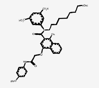 CCCCCCCCCCCCCCCCCCN(C(=O)c1cc(OCC(=O)Nc2ccc(OC)cc2)c2ccccc2c1O)c1cc(C(=O)O)cc(C(=O)O)c1